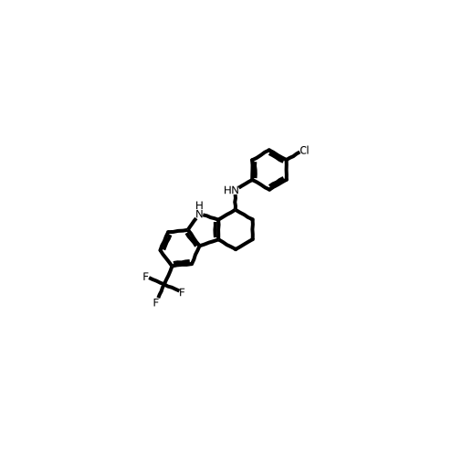 FC(F)(F)c1ccc2[nH]c3c(c2c1)CCCC3Nc1ccc(Cl)cc1